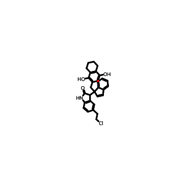 O=C1Nc2ccc(CCCl)cc2C1C1(Cc2cc(O)c3c(c2O)CCCC3)C=Cc2ccccc21